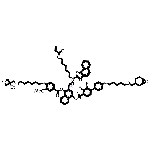 C=CC(=O)OCCCCCCN(/N=C/c1cc(OC(F)(F)c2ccc(-c3ccc(OCCCCCOCC4CCC5OC5C4)cc3)c(F)c2F)c2ccccc2c1OC(=O)c1ccc(OCCCCCCOCC2(CC)COC2)c(OC)c1)c1nc2ccc3ccccc3c2s1